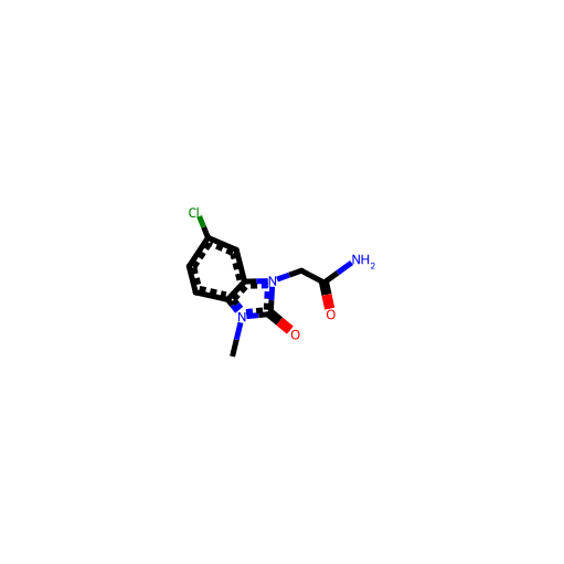 Cn1c(=O)n(CC(N)=O)c2cc(Cl)ccc21